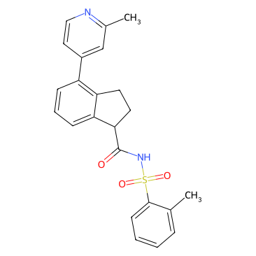 Cc1cc(-c2cccc3c2CCC3C(=O)NS(=O)(=O)c2ccccc2C)ccn1